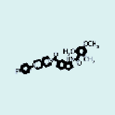 COc1cc(C)c(C(=O)NC2CCc3ccc(C(=O)N4CCC5(CC4)CCN(c4ccc(F)cc4)CC5)cc32)c(C)c1